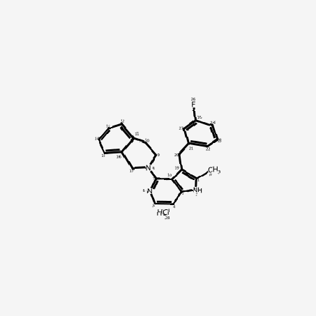 Cc1[nH]c2ccnc(N3CCc4ccccc4C3)c2c1Cc1cccc(F)c1.Cl